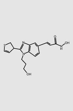 O=C(/C=C/c1ccc2c(c1)nc(C1C=CSC1)n2CCCO)NO